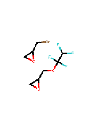 BrCC1CO1.FC(F)C(F)(F)OCC1CO1